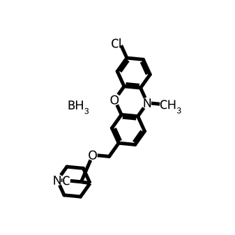 B.CN1c2ccc(Cl)cc2Oc2cc(COC3CN4CCC3CC4)ccc21